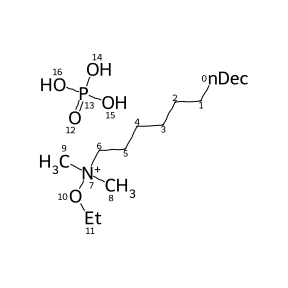 CCCCCCCCCCCCCCCC[N+](C)(C)OCC.O=P(O)(O)O